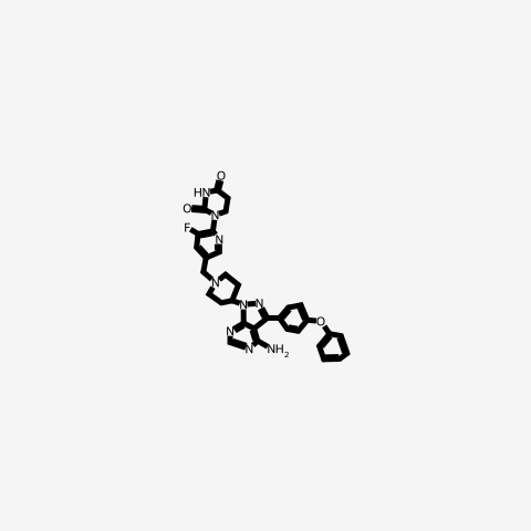 Nc1ncnc2c1c(-c1ccc(Oc3ccccc3)cc1)nn2C1CCN(Cc2cnc(N3CCC(=O)NC3=O)c(F)c2)CC1